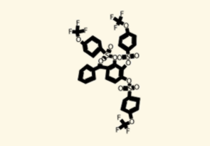 O=C(c1ccccc1)c1ccc(OS(=O)(=O)c2ccc(OC(F)(F)F)cc2)c(OS(=O)(=O)c2ccc(OC(F)(F)F)cc2)c1OS(=O)(=O)c1ccc(OC(F)(F)F)cc1